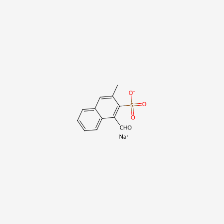 Cc1cc2ccccc2c(C=O)c1S(=O)(=O)[O-].[Na+]